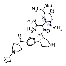 C/C=C/C(=N\C(C(C)CCCC)C(F)CC)C(C(=O)NC1CNCCC1c1ccc(C(=O)N2CCN(C3COC3)CC2)cc1)C(N)N